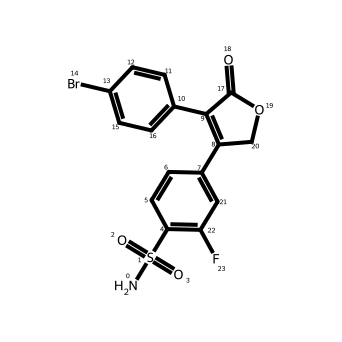 NS(=O)(=O)c1ccc(C2=C(c3ccc(Br)cc3)C(=O)OC2)cc1F